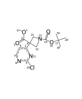 COC(=O)C1(c2ccnc(Cl)n2)CN(C(=O)OC(C)(C)C)C1